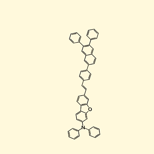 C(=C\c1ccc2c(c1)oc1cc(N(c3ccccc3)c3ccccc3)ccc12)/c1ccc(-c2ccc3cc(-c4ccccc4)c(-c4ccccc4)cc3c2)cc1